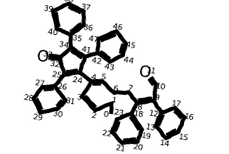 CC/C=C\C(=C/CC/C(=C(\C=O)c1ccccc1)c1ccccc1)C1=C(c2ccccc2)C(=O)C(c2ccccc2)=C1c1ccccc1